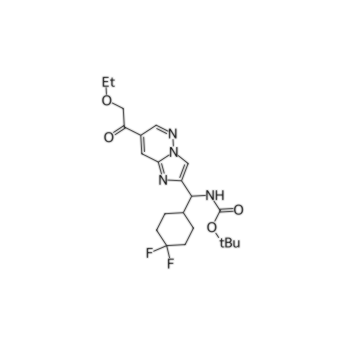 CCOCC(=O)c1cnn2cc(C(NC(=O)OC(C)(C)C)C3CCC(F)(F)CC3)nc2c1